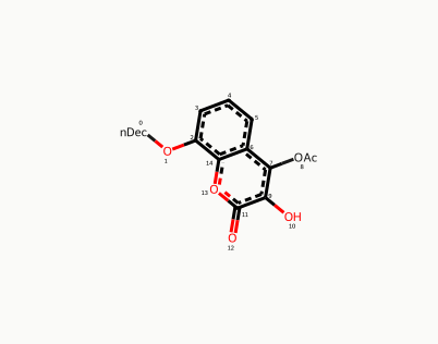 CCCCCCCCCCOc1cccc2c(OC(C)=O)c(O)c(=O)oc12